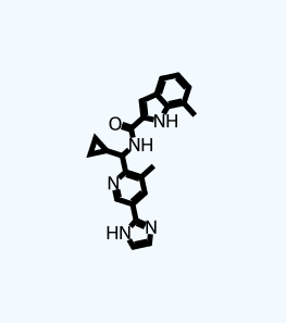 Cc1cc(-c2ncc[nH]2)cnc1C(NC(=O)c1cc2cccc(C)c2[nH]1)C1CC1